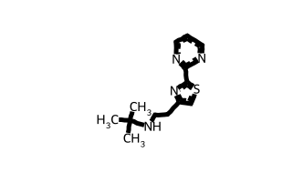 CC(C)(C)NCCc1csc(-c2ncccn2)n1